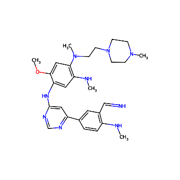 CNc1ccc(-c2cc(Nc3cc(NC)c(N(C)CCN4CCN(C)CC4)cc3OC)ncn2)cc1C=N